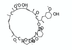 CO[C@H]1C[C@@H]2CC[C@@H](C)C(O)(O2)C(=O)C(=O)N2CCCC[C@H]2C(=O)O[C@H]([C@H](C)C[C@@H]2CC[C@@H](O)[C@H](OC)C2)CC(=O)[C@H](C)/C=C(\C)[C@@H](O)[C@@H](OC)C(=O)[C@H](C)CC(C)/C=C/C=C/C=C/1C